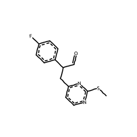 CSc1nccc(CC(C=O)c2ccc(F)cc2)n1